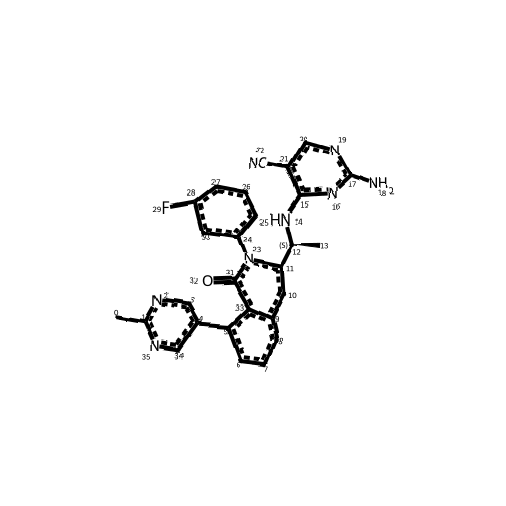 Cc1ncc(-c2cccc3cc([C@H](C)Nc4nc(N)ncc4C#N)n(-c4cccc(F)c4)c(=O)c23)cn1